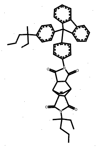 CCCC(C)(CC)c1ccc(C2(c3ccc(N4C(=O)C5C6C=CC(C5C4=O)C4C(=O)N(C(C)(CC)CCC)C(=O)C64)cc3)c3ccccc3-c3ccccc32)cc1